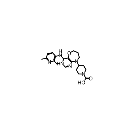 Cc1ccc(NC2NC=NC3=C2OCCCN3C2CCN(C(=O)O)CC2)c(C)n1